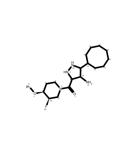 CC(C)O[C@H]1CCN(C(=O)C2NNC(C3CCCCCCC3)C2N)C[C@H]1F